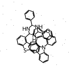 c1ccc(C2NC(c3ccccc3)NC(c3cccc4sc5cccc(-c6cccc7oc8cccc(-n9c%10ccccc%10c%10ccccc%109)c8c67)c5c34)N2)cc1